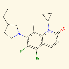 CCC1CCN(c2c(F)c(Br)c3ccc(=O)n(C4CC4)c3c2C)C1